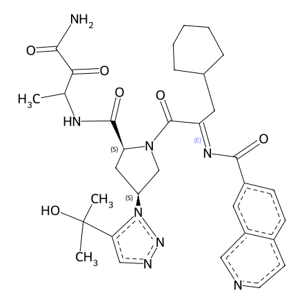 CC(NC(=O)[C@@H]1C[C@H](n2nncc2C(C)(C)O)CN1C(=O)/C(CC1CCCCC1)=N/C(=O)c1ccc2ccncc2c1)C(=O)C(N)=O